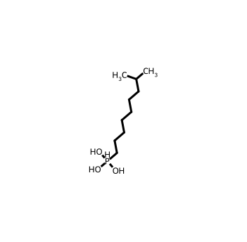 CC(C)CCCCCCC[PH](O)(O)O